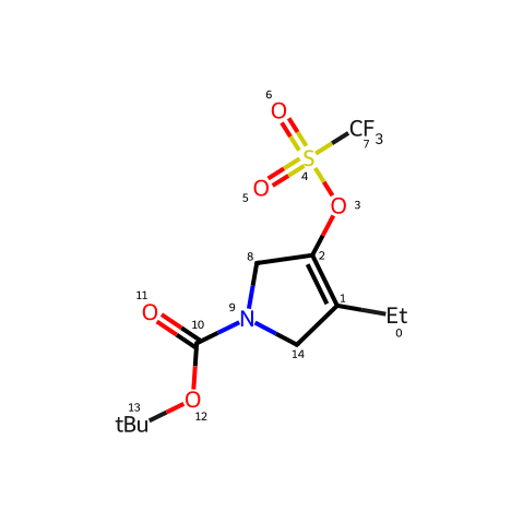 CCC1=C(OS(=O)(=O)C(F)(F)F)CN(C(=O)OC(C)(C)C)C1